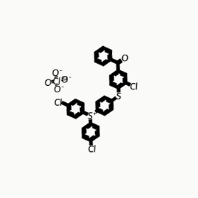 O=C(c1ccccc1)c1ccc(Sc2ccc([S+](c3ccc(Cl)cc3)c3ccc(Cl)cc3)cc2)c(Cl)c1.[O-][Cl+3]([O-])([O-])[O-]